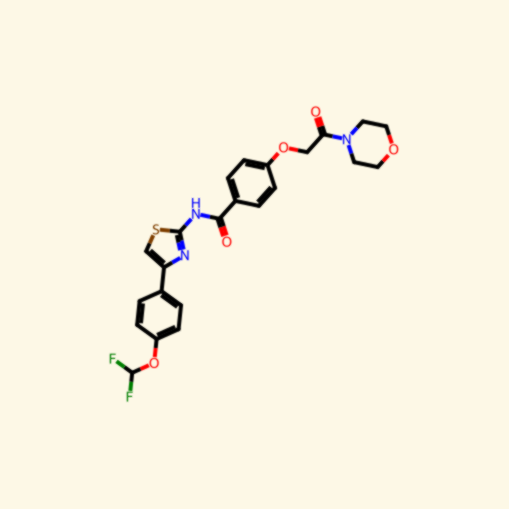 O=C(Nc1nc(-c2ccc(OC(F)F)cc2)cs1)c1ccc(OCC(=O)N2CCOCC2)cc1